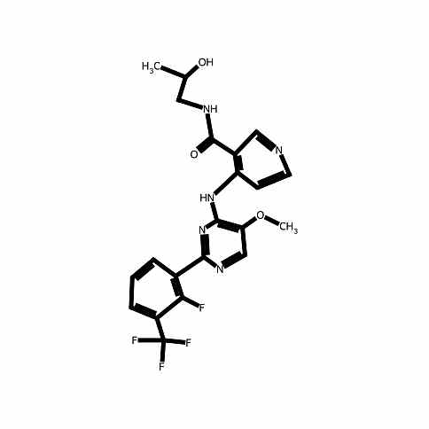 COc1cnc(-c2cccc(C(F)(F)F)c2F)nc1Nc1ccncc1C(=O)NCC(C)O